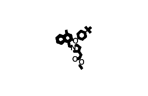 CCOC(=O)CC1CCN(Cc2c(O[C@H]3CC[C@H](C(C)(C)C)CC3)cc(C)c3ccccc23)C1